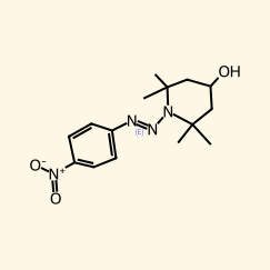 CC1(C)CC(O)CC(C)(C)N1/N=N/c1ccc([N+](=O)[O-])cc1